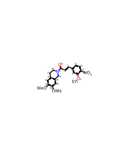 CCOc1cc(/C=C/C(=O)N2CCc3cc(OC)c(OC)cc3C2)ccc1[N+](=O)[O-]